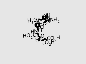 CN(CCc1c[nH]c2nc(N)nc(O)c12)c1ccc(C(=O)N[C@@H](CCC(=O)N[C@@H](CCC(=O)O)C(=O)O)C(=O)O)c(Cl)c1